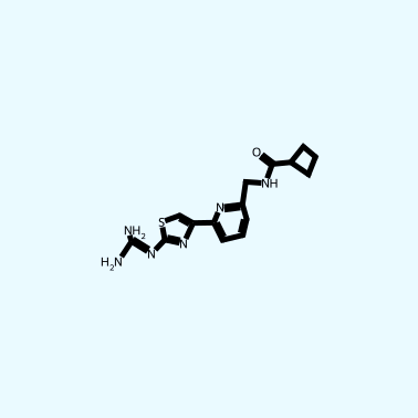 NC(N)=Nc1nc(-c2cccc(CNC(=O)C3CCC3)n2)cs1